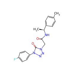 Cc1ccc([C@H](C)NC(=O)Cn2nnn(-c3ccc(F)cc3)c2=O)cc1